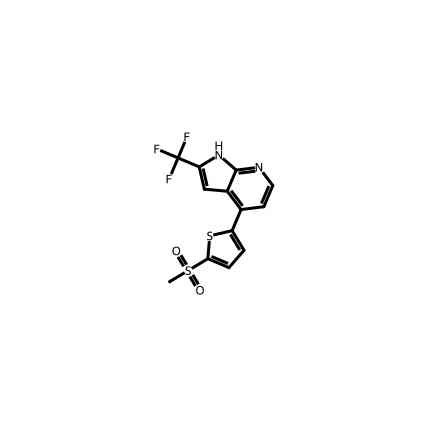 CS(=O)(=O)c1ccc(-c2ccnc3[nH]c(C(F)(F)F)cc23)s1